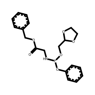 O=C(CNP(OCC1OCCO1)Oc1ccccc1)OCc1ccccc1